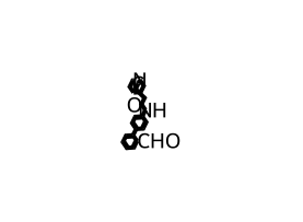 O=Cc1ccccc1-c1ccc(NC(=O)CC2CN3CCC2CC3)cc1